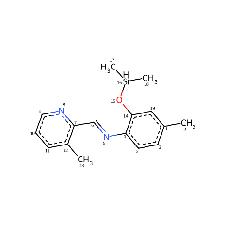 Cc1ccc(N=Cc2ncccc2C)c(O[SiH](C)C)c1